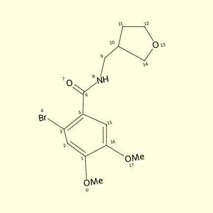 COc1cc(Br)c(C(=O)NCC2CCOC2)cc1OC